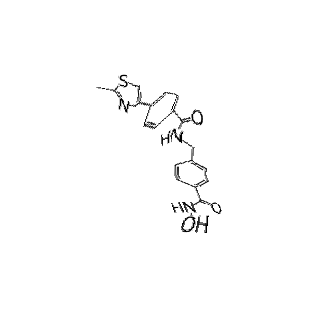 Cc1nc(-c2ccc(C(=O)NCc3ccc(C(=O)NO)cc3)cc2)cs1